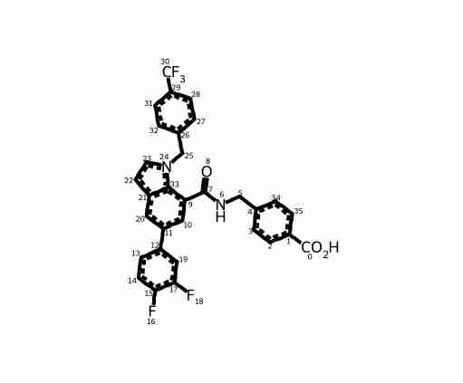 O=C(O)c1ccc(CNC(=O)c2cc(-c3ccc(F)c(F)c3)cc3ccn(Cc4ccc(C(F)(F)F)cc4)c23)cc1